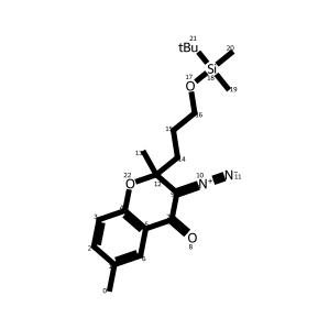 Cc1ccc2c(c1)C(=O)C(=[N+]=[N-])C(C)(CCCO[Si](C)(C)C(C)(C)C)O2